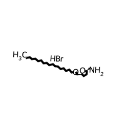 Br.CCCCCCCCCCCCCCCCCCOC[C@@H]1CC[C@@H](CN)O1